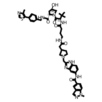 Cc1ncsc1-c1ccc(CNC(=O)[C@@H]2C[C@@H](O)CN2C(=O)[C@@H](NC(=O)CCCNC(=O)CC2CCN(Cc3nc4cc(NC(=O)c5ccc6c(cnn6C)c5)ccc4[nH]3)C2)C(C)(C)C)cc1